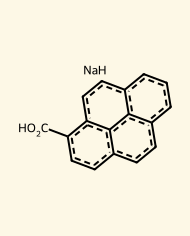 O=C(O)c1ccc2ccc3cccc4ccc1c2c34.[NaH]